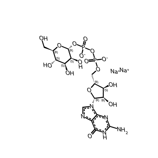 Nc1nc2c(ncn2[C@@H]2O[C@H](COP(=O)([O-])OP(=O)([O-])O[C@H]3O[C@H](CO)[C@@H](O)[C@H](O)[C@@H]3O)[C@@H](O)[C@H]2O)c(=O)[nH]1.[Na+].[Na+]